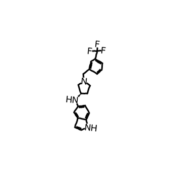 FC(F)(F)c1cccc(CN2CC[C@@H](Nc3ccc4[nH]ccc4c3)C2)c1